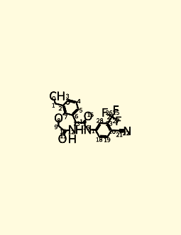 CCc1cccc2c1OCC(=O)NC2C(=O)Nc1ccc(C#N)c(C(F)(F)F)c1